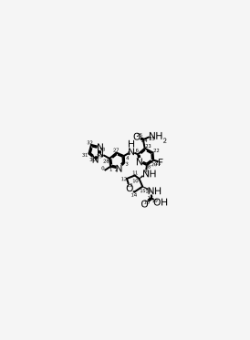 Cc1ncc(Nc2nc(N[C@@H]3CCOC[C@@H]3NC(=O)O)c(F)cc2C(N)=O)cc1-n1nccn1